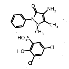 Cc1c(N)c(=O)n(-c2ccccc2)n1C.O=S(=O)(O)c1cc(Cl)cc(Cl)c1O